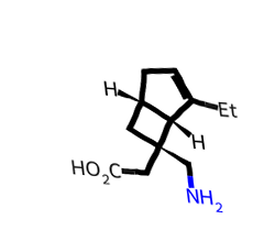 CCC1=CC[C@H]2C[C@@](CN)(CC(=O)O)[C@@H]12